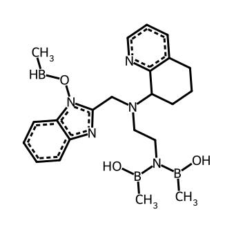 CBOn1c(CN(CCN(B(C)O)B(C)O)C2CCCc3cccnc32)nc2ccccc21